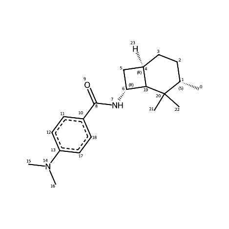 C[C@H]1CC[C@@H]2C[C@@H](NC(=O)c3ccc(N(C)C)cc3)C2C1(C)C